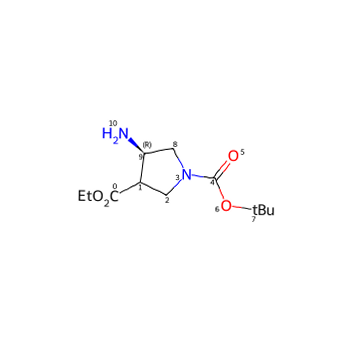 CCOC(=O)C1CN(C(=O)OC(C)(C)C)C[C@@H]1N